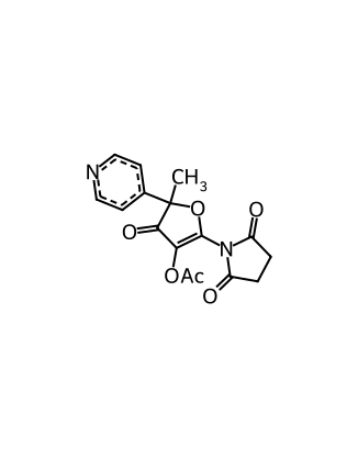 CC(=O)OC1=C(N2C(=O)CCC2=O)OC(C)(c2ccncc2)C1=O